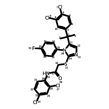 CC(C)(c1ccc(Cl)c(Cl)c1)c1cnc(SCC(=O)Nc2ccc(Cl)cc2Cl)n1-c1ccc(F)cc1